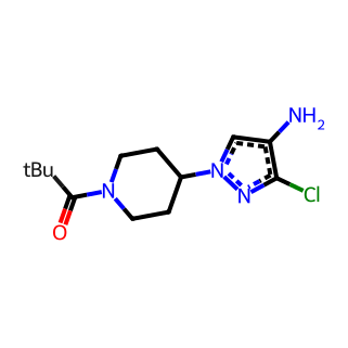 CC(C)(C)C(=O)N1CCC(n2cc(N)c(Cl)n2)CC1